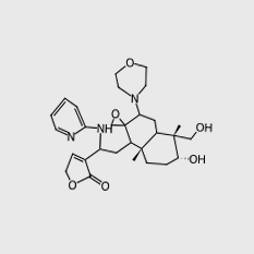 C[C@]12CC[C@@H](O)[C@@](C)(CO)C1CC(N1CCOCC1)C1(CO1)C2CC(Nc1ccccn1)C1=CCOC1=O